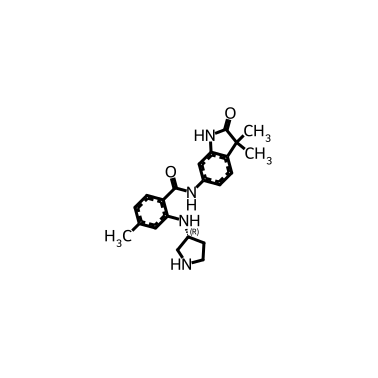 Cc1ccc(C(=O)Nc2ccc3c(c2)NC(=O)C3(C)C)c(N[C@@H]2CCNC2)c1